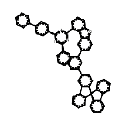 c1ccc(-c2ccc(-c3nc(-c4ccccc4)nc(-c4cccc5oc6ccc(-c7cccc(-c8ccc9c(c8)-c8ccccc8C98c9ccccc9-c9ccccc98)c7)cc6c45)n3)cc2)cc1